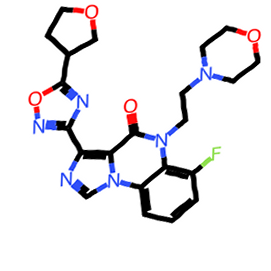 O=c1c2c(-c3noc(C4CCOC4)n3)ncn2c2cccc(F)c2n1CCN1CCOCC1